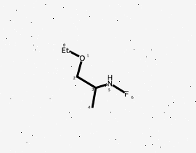 CCOCC(C)NF